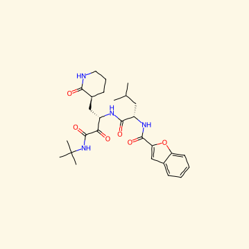 CC(C)C[C@H](NC(=O)c1cc2ccccc2o1)C(=O)N[C@@H](C[C@@H]1CCCNC1=O)C(=O)C(=O)NC(C)(C)C